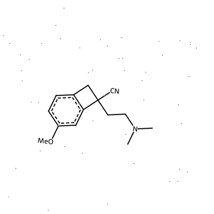 COc1ccc2c(c1)C(C#N)(CCN(C)C)C2